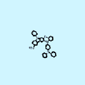 CC(C)(C)c1ccc2c(c1)c1cc(N(c3ccc(N(c4ccccc4)c4ccccc4)cc3)c3ccccc3F)ccc1n2-c1ccccc1